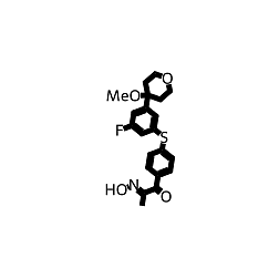 COC1(c2cc(F)cc(Sc3ccc(C(=O)C(C)=NO)cc3)c2)CCOCC1